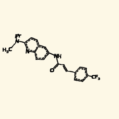 CC(C)N(C)c1ccc2cc(NC(=O)/C=C/c3ccc(C(F)(F)F)cc3)ccc2n1